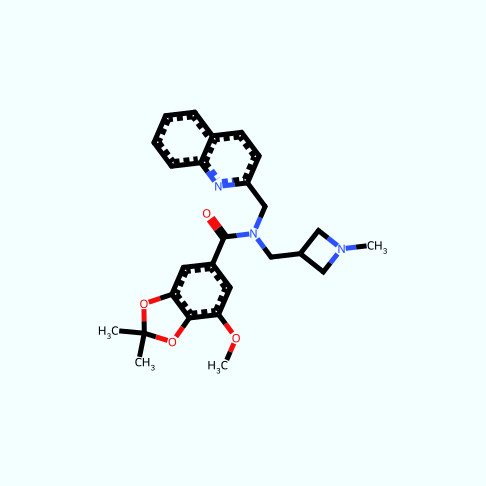 COc1cc(C(=O)N(Cc2ccc3ccccc3n2)CC2CN(C)C2)cc2c1OC(C)(C)O2